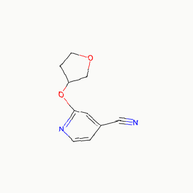 N#Cc1ccnc(OC2CCOC2)c1